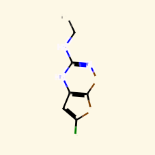 CC(C)CNC1=NSc2sc(Cl)cc2N1